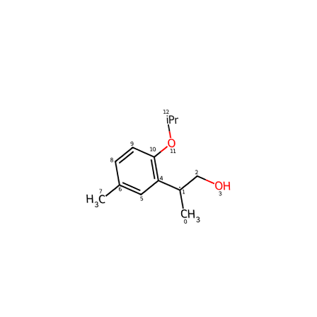 C[C](CO)c1cc(C)ccc1OC(C)C